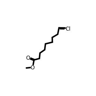 COC(=O)CCCCCCC/C=C\Cl